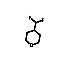 FC(F)C1CCOCC1